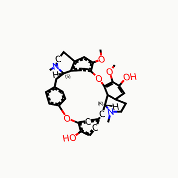 COC1=C2Oc3cc4c(cc3OC)CCN(C)[C@H]4Cc3ccc(cc3)Oc3cc(ccc3O)C[C@@H]3C2C(C=C1O)CCN3C